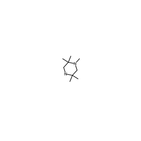 CN1CC(C)(C)[N]CC1(C)C